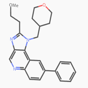 COCCc1nc2cnc3ccc(-c4ccccc4)cc3c2n1CC1CCOCC1